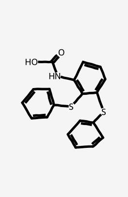 O=C(O)Nc1cccc(Sc2ccccc2)c1Sc1ccccc1